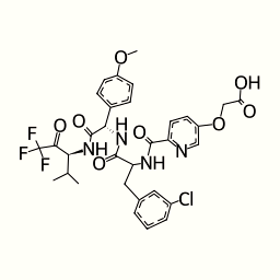 COc1ccc([C@H](NC(=O)C(Cc2cccc(Cl)c2)NC(=O)c2ccc(OCC(=O)O)cn2)C(=O)N[C@H](C(=O)C(F)(F)F)C(C)C)cc1